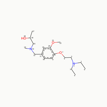 CCN(CC)CCOc1ccc(CN(C)CC(C)O)cc1OC